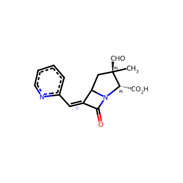 C[C@@]1(C=O)CC2/C(=C\c3ccccn3)C(=O)N2[C@H]1C(=O)O